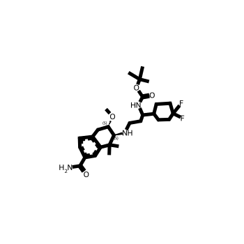 CO[C@H]1Cc2ccc(C(N)=O)cc2C(C)(C)[C@@H]1NCCC(NC(=O)OC(C)(C)C)C1CCC(F)(F)CC1